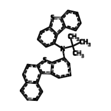 CC(C)(C)N(c1cccc2c1sc1ccc3ccccc3c12)c1cccc2sc3ccccc3c12